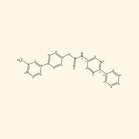 Cc1cc(-c2ccc(CC(=O)Nc3cnc(-c4ccccc4)nc3)cc2)ccn1